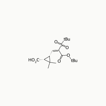 CC(C)(C)OC(=O)/C(=C\[C@H]1[C@@H](C(=O)O)C1(C)C)S(=O)(=O)C(C)(C)C